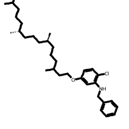 CC(C)CCC[C@@H](C)CCC[C@@H](C)CCCC(C)CCOc1ccc(Cl)c(NCc2ccccc2)c1